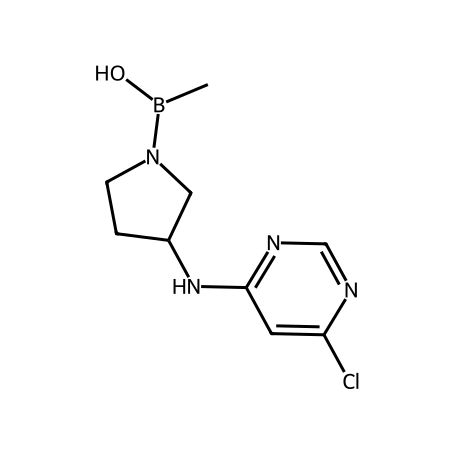 CB(O)N1CCC(Nc2cc(Cl)ncn2)C1